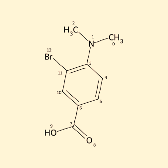 CN(C)c1ccc(C(=O)O)cc1Br